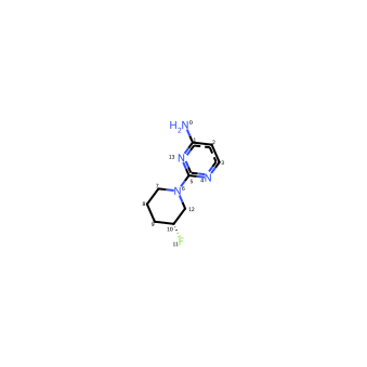 Nc1ccnc(N2CCC[C@@H](F)C2)n1